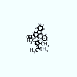 CC1=[C]([Zr+2](=[C]2CCCCC2)[c]2cccc3c2Cc2ccccc2-3)C(C)C=C1C(C)C.[Cl-].[Cl-]